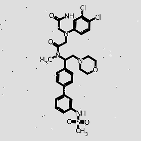 CN(C(=O)CN(CC(N)=O)c1ccc(Cl)c(Cl)c1)C(CN1CCOCC1)c1ccc(-c2cccc(NS(C)(=O)=O)c2)cc1